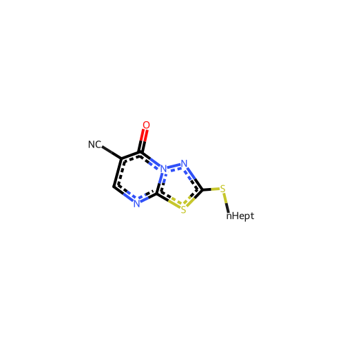 CCCCCCCSc1nn2c(=O)c(C#N)cnc2s1